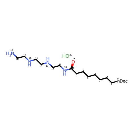 CCCCCCCCCCCCCCCCCC(=O)NCCNCCNCCN.Cl